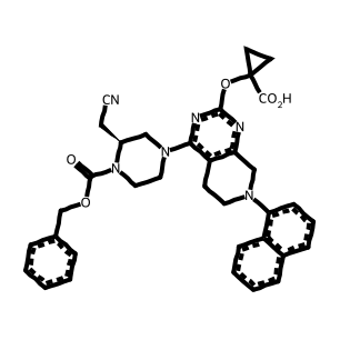 N#CC[C@H]1CN(c2nc(OC3(C(=O)O)CC3)nc3c2CCN(c2cccc4ccccc24)C3)CCN1C(=O)OCc1ccccc1